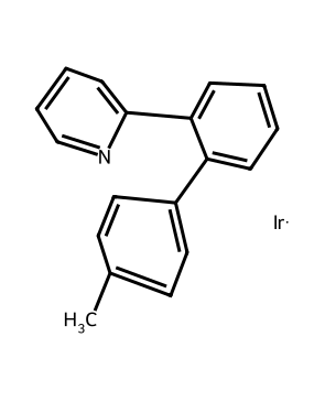 Cc1ccc(-c2ccccc2-c2ccccn2)cc1.[Ir]